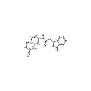 O=C(Cc1c[nH]c2ccccc12)Nc1ccc2c(c1)NC(=O)CO2